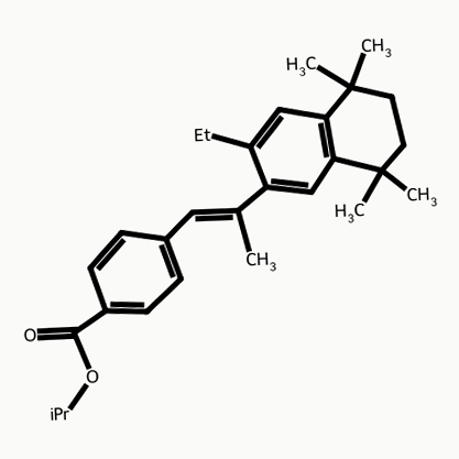 CCc1cc2c(cc1C(C)=Cc1ccc(C(=O)OC(C)C)cc1)C(C)(C)CCC2(C)C